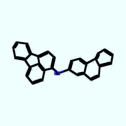 c1ccc2c(c1)-c1cccc3c(Nc4ccc5c(ccc6ccccc65)c4)ccc-2c13